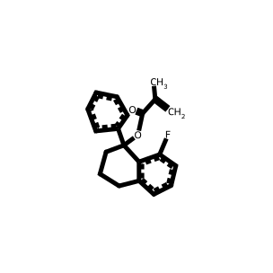 C=C(C)C(=O)OC1(c2ccccc2)CCCc2cccc(F)c21